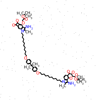 Cc1c(N)c2c3c(ccc2n1CCCCCCCCCCCCOc1ccc(C(C)(C)c2ccc(OCCCCCCCCCCCCn4c(C)c(N)c5c(OCC(=O)OC(C)(C)C)c6c(=O)c(=O)c6cc54)cc2)cc1)C(=O)C(=O)C(C(=O)OC(C)(C)C)O3